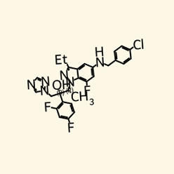 CCc1nn([C@H](C)[C@](O)(Cn2cncn2)c2ccc(F)cc2F)c2c(F)cc(NCc3ccc(Cl)cc3)cc12